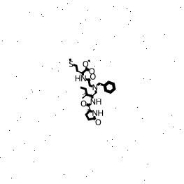 CC[C@H](C)[C@@H](CN(CC(=O)N[C@@H](CCSC)C(=O)OC)Cc1ccccc1)NC(=O)[C@@H]1CCC(=O)N1